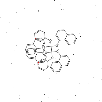 c1ccc(OC(Oc2cccc3ccccc23)(Oc2cccc3ccccc23)C(Oc2ccccc2)(Oc2cccc3ccccc23)Oc2cccc3ccccc23)cc1